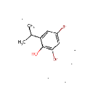 CC(C)c1cc(Br)cc(Br)c1O